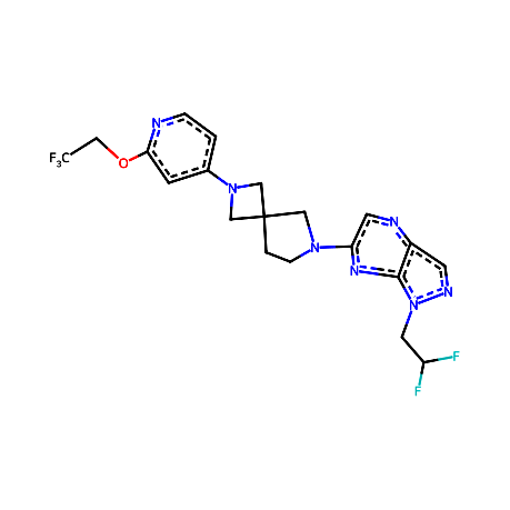 FC(F)Cn1ncc2ncc(N3CCC4(CN(c5ccnc(OCC(F)(F)F)c5)C4)C3)nc21